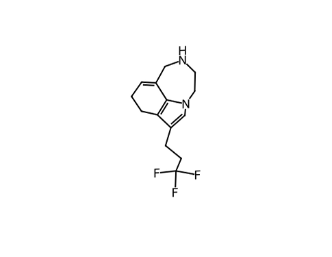 FC(F)(F)CCc1cn2c3c1CCC=C3CNCC2